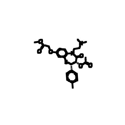 COC(=O)COc1ccc2c(c1)S[C@@H](c1ccc(C)cc1)[C@@H](OC(C)=O)C(=O)N2CCN(C)C